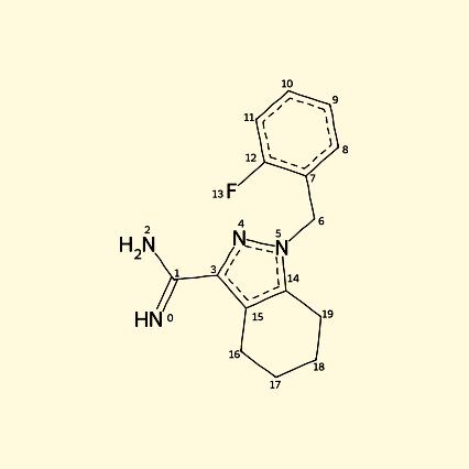 N=C(N)c1nn(Cc2ccccc2F)c2c1CCCC2